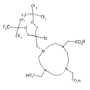 CCC(COC(C(F)(F)F)(C(F)(F)F)C(F)(F)F)(COC(C(F)(F)F)(C(F)(F)F)C(F)(F)F)CN1CCN(CC(=O)O)CCN(CC(=O)O)CCN(CC(=O)O)CC1